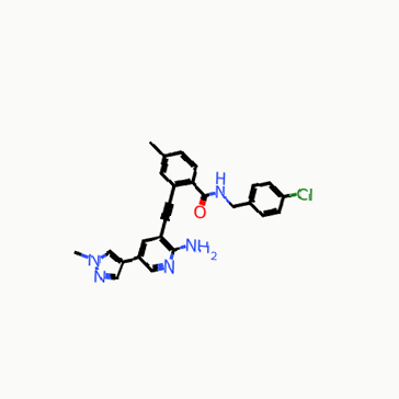 Cc1ccc(C(=O)NCc2ccc(Cl)cc2)c(C#Cc2cc(-c3cnn(C)c3)cnc2N)c1